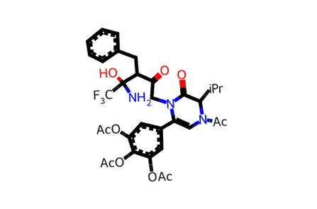 CC(=O)Oc1cc(C2=CN(C(C)=O)C(C(C)C)C(=O)N2CC(=O)C(Cc2ccccc2)C(N)(O)C(F)(F)F)cc(OC(C)=O)c1OC(C)=O